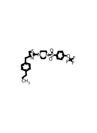 CCCc1ccc(Cc2csc(N3CCN(S(=O)(=O)c4ccc(OC(F)(F)F)cc4)CC3)n2)cc1